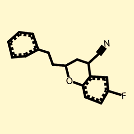 N#CC1CC(CCc2ccccc2)Oc2ccc(F)cc21